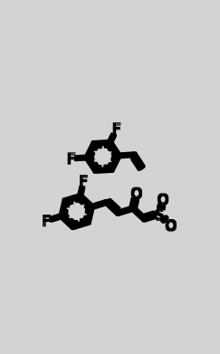 C=Cc1ccc(F)cc1F.O=C(C=Cc1ccc(F)cc1F)C=S(=O)=O